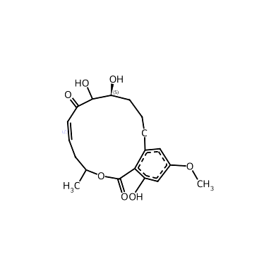 COc1cc(O)c2c(c1)CCC[C@H](O)C(O)C(=O)/C=C\CC(C)OC2=O